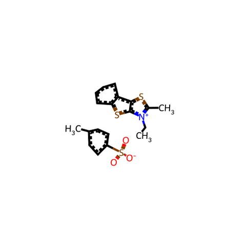 CC[n+]1c(C)sc2c3ccccc3sc21.Cc1ccc(S(=O)(=O)[O-])cc1